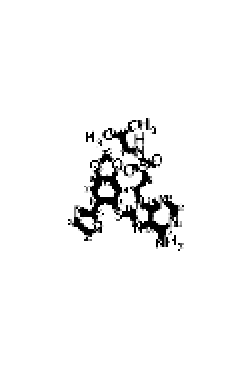 CC(C)CNS(=O)(=O)CCn1c(Sc2cc3c(cc2-c2ncco2)OCO3)nc2c(N)ncnc21